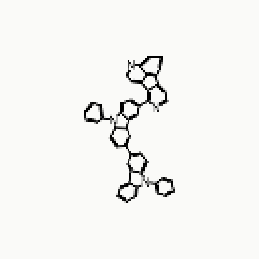 c1ccc(-n2c3ccccc3c3cc(-c4ccc5c(c4)c4cc(-c6nccc7c6-c6ccnc8cccc-7c68)ccc4n5-c4ccccc4)ccc32)cc1